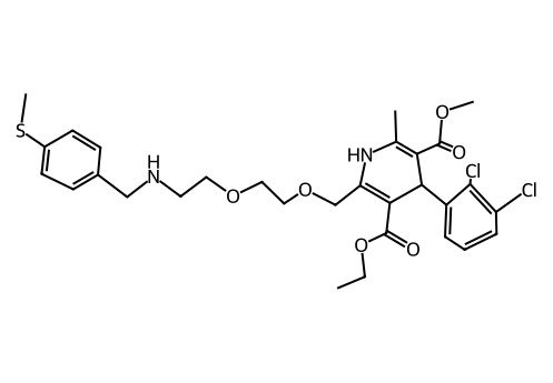 CCOC(=O)C1=C(COCCOCCNCc2ccc(SC)cc2)NC(C)=C(C(=O)OC)C1c1cccc(Cl)c1Cl